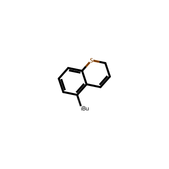 CCC(C)c1cccc2c1C=CCS2